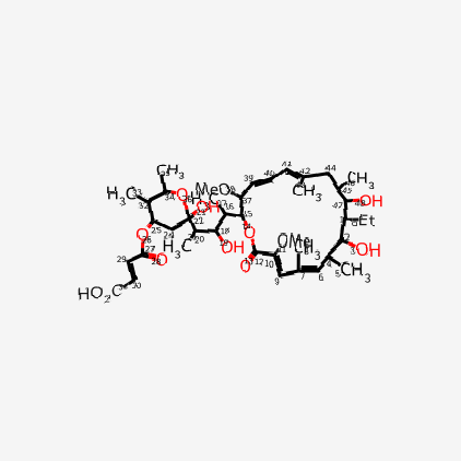 CCC1C(O)C(C)/C=C(C)/C=C(\OC)C(=O)OC(C(C)C(O)C(C)C2(O)CC(OC(=O)/C=C/C(=O)O)C(C)C(C)O2)C(OC)/C=C/C=C(\C)CC(C)C1O